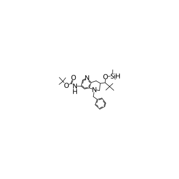 C[SiH](C)OC(C1Cc2ncc(NC(=O)OC(C)(C)C)cc2N(Cc2ccccc2)C1)C(C)(C)C